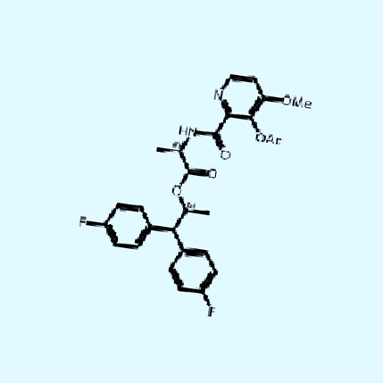 COc1ccnc(C(=O)N[C@H](C)C(=O)O[C@@H](C)C(c2ccc(F)cc2)c2ccc(F)cc2)c1OC(C)=O